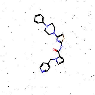 O=C(Nc1nc(N2CCN(c3ccccc3)CC2)cs1)c1cccn1Cc1ccncc1